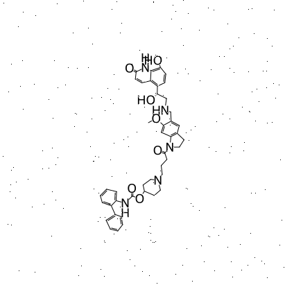 COc1cc2c(cc1CNC[C@H](O)c1ccc(O)c3[nH]c(=O)ccc13)CCN2C(=O)CCCN1CCC(OC(=O)Nc2ccccc2-c2ccccc2)CC1